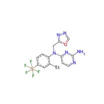 CCc1cc(S(F)(F)(F)(F)F)ccc1N(Cc1nnco1)c1ccnc(N)n1